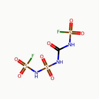 O=C(NS(=O)(=O)F)NS(=O)(=O)NS(=O)(=O)F